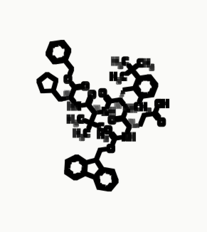 Cc1cccc(C(C)(C)C)c1C[C@H](NC(=O)[C@H](CCC(=O)O)NC(=O)OCC1c2ccccc2-c2ccccc21)C(=O)N[C@H](C(=O)N[C@@H](CC1CCCC1)C(=O)OCc1ccccc1)C(C)(C)C